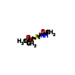 C=CC(=O)NCCSCCOC(=O)C(=C)C